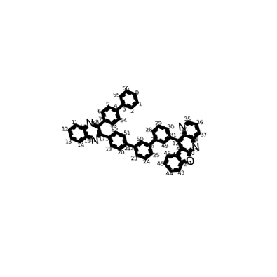 c1ccc(-c2ccc(-c3nc4ccccc4nc3-c3ccc(-c4cccc(-c5cccc(-c6c7ncccc7nc7oc8ccccc8c67)c5)c4)cc3)cc2)cc1